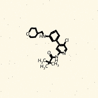 CC(C)(C)C(=O)Nc1cc(-c2cccc(NCC3CCOCC3)c2)c(Cl)cn1